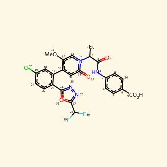 CCC(C(=O)Nc1ccc(C(=O)O)cc1)n1cc(OC)c(-c2cc(Cl)ccc2-c2nnc(C(F)F)o2)cc1=O